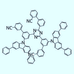 N#Cc1cccc(-c2cc(-c3nc(-c4cccc(-c5ccccc5C#N)c4)nc(-c4cc(-c5cccc(C#N)c5)cc(-n5c6ccc(-c7ccccc7)cc6c6cc(-c7ccccc7)ccc65)c4)n3)cc(-n3c4ccc(-c5ccccc5)cc4c4cc(-c5ccccc5)ccc43)c2)c1